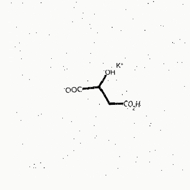 O=C(O)CC(O)C(=O)[O-].[K+]